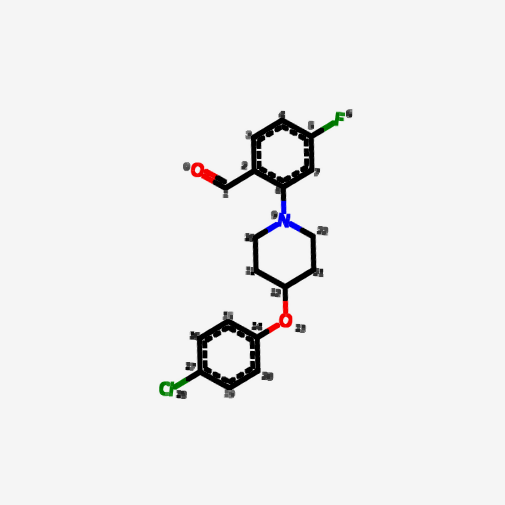 O=Cc1ccc(F)cc1N1CCC(Oc2ccc(Cl)cc2)CC1